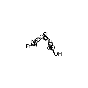 CCc1cnc(N2CCC(Oc3ccc(CN4CCN(S(=O)(=O)CCCO)CC4)cc3Cl)CC2)nc1